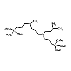 CO[Si](CCCN(C)CCCN(CCC[Si](OC)(OC)OC)CCC(C)N)(OC)OC